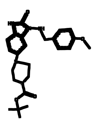 COc1ccc(CNn2c(=O)[nH]c3ccc(N4CCN(C(=O)OC(C)(C)C)CC4)cc32)cc1